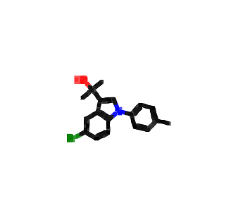 Cc1ccc(-n2cc(C(C)(C)O)c3cc(Br)ccc32)cc1